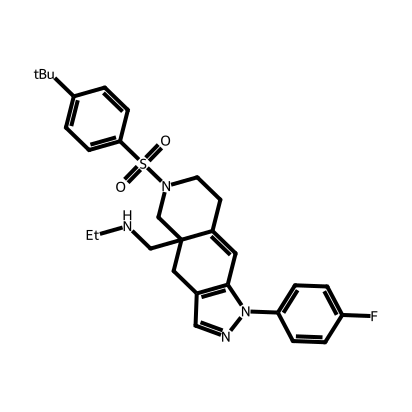 CCNCC12Cc3cnn(-c4ccc(F)cc4)c3C=C1CCN(S(=O)(=O)c1ccc(C(C)(C)C)cc1)C2